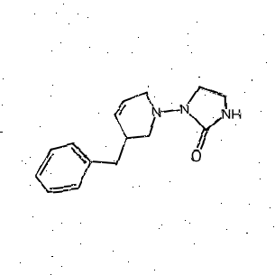 O=C1NCCN1N1CC=CC(Cc2ccccc2)C1